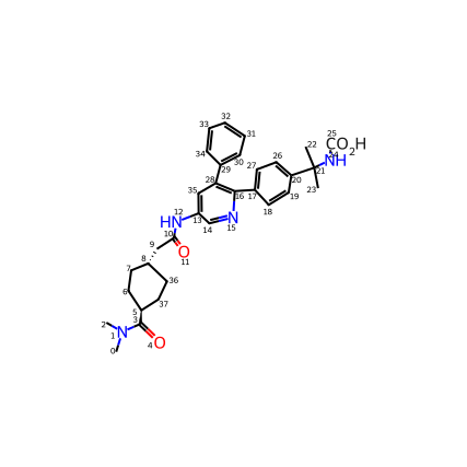 CN(C)C(=O)[C@H]1CC[C@H](CC(=O)Nc2cnc(-c3ccc(C(C)(C)NC(=O)O)cc3)c(-c3ccccc3)c2)CC1